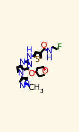 Cn1cc(-n2ccc3nc(Nc4cc(C(=O)NCCF)cs4)nc(OC4CCOCC4)c32)cn1